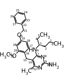 CCC[C@H](CC)Nc1nc(N)nc(C)c1Cc1ccc(OCc2ccccc2)cc1OC